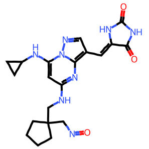 O=NCC1(CNc2cc(NC3CC3)n3ncc(/C=C4\NC(=O)NC4=O)c3n2)CCCC1